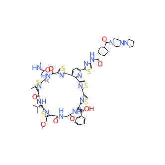 CNC(=O)C[C@@H]1NC(=O)c2csc(n2)-c2ccc(-c3nc(NC(=O)[C@H]4CC[C@H](C(=O)N5CCN(N6CCCC6)CC5)CC4)cs3)nc2-c2csc(n2)-c2csc(n2)[C@H]([C@@H](O)c2ccccc2)NC(=O)CNC(=O)c2nc(sc2COC)[C@H](C(C)C)NC(=O)c2nc1sc2C